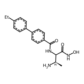 CCc1ccc(-c2ccc(C(=O)NC(C(=O)NO)[C@@H](C)N)cc2)cc1